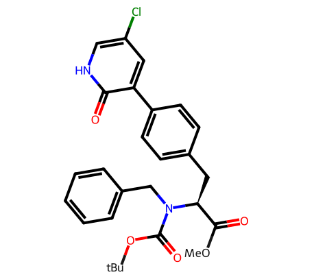 COC(=O)[C@H](Cc1ccc(-c2cc(Cl)c[nH]c2=O)cc1)N(Cc1ccccc1)C(=O)OC(C)(C)C